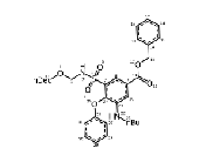 CCCCCCCCCCOCNS(=O)(=O)c1cc(C(=O)OCc2ccccc2)cc(NCCCC)c1Oc1ccccc1